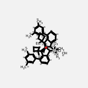 CCC1(CC2=Cc3c(-c4cc(C)cc(C)c4)cccc3[CH]2[Zr]([CH3])([CH3])(=[SiH2])[CH]2C(CC3(CC)CCC3)=Cc3c(-c4cc(C)cc(C)c4)cccc32)CCC1.Cl.Cl